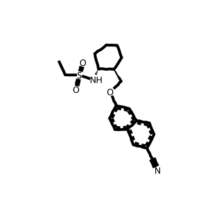 CCS(=O)(=O)N[C@@H]1CCCC[C@H]1COc1ccc2cc(C#N)ccc2c1